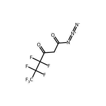 [N-]=[N+]=NC(=O)CC(=O)C(F)(F)C(F)(F)C(F)(F)F